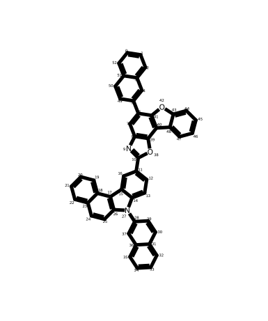 c1ccc2cc(-c3cc4nc(-c5ccc6c(c5)c5c7ccccc7ccc5n6-c5ccc6ccccc6c5)oc4c4c3oc3ccccc34)ccc2c1